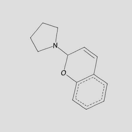 C1=CC(N2CCCC2)Oc2ccccc21